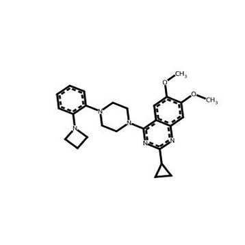 COc1cc2nc(C3CC3)nc(N3CCN(c4ccccc4N4CCC4)CC3)c2cc1OC